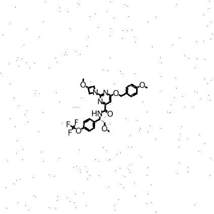 COC[C@@H](NC(=O)c1cc(OCc2ccc(OC)cc2)nc(N2CC(OC)C2)n1)c1ccc(OC(F)(F)F)cc1